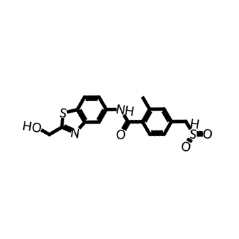 Cc1cc(C[SH](=O)=O)ccc1C(=O)Nc1ccc2sc(CO)nc2c1